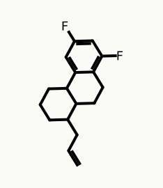 C=CCC1CCCC2c3cc(F)cc(F)c3CCC12